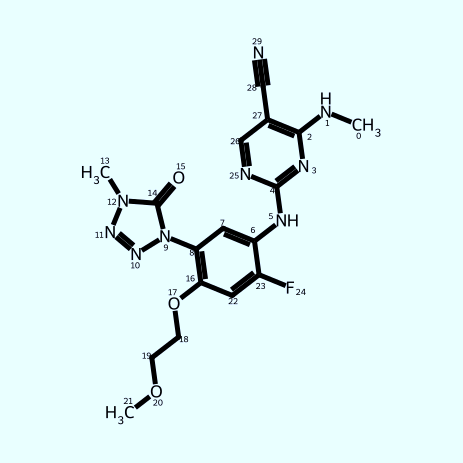 CNc1nc(Nc2cc(-n3nnn(C)c3=O)c(OCCOC)cc2F)ncc1C#N